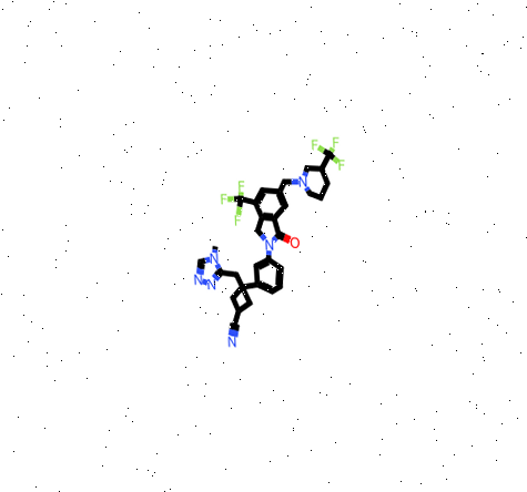 Cn1cnnc1CC1(c2cccc(N3Cc4c(cc(CN5CCCC(C(F)(F)F)C5)cc4C(F)(F)F)C3=O)c2)CC(C#N)C1